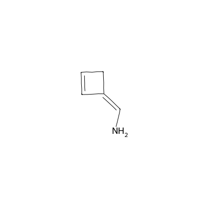 N/C=C1\C=CC1